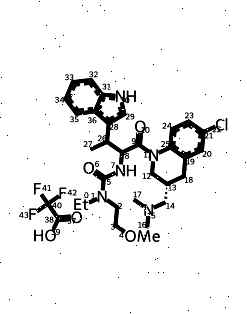 CCN(CCOC)C(=O)NC(C(=O)N1C[C@@H](CN(C)C)Cc2cc(Cl)ccc21)C(C)c1c[nH]c2ccccc12.O=C(O)C(F)(F)F